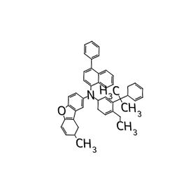 CCC1=CCC(N(c2ccc3oc4c(c3c2)CC(C)C=C4)c2ccc(-c3ccccc3)c3ccccc23)C=C1C(C)(C)C1C=CC=CC1